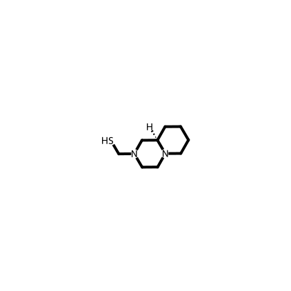 SCN1CCN2CCCC[C@@H]2C1